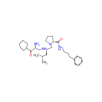 CC(C)C[C@H](CN1CCC[C@H]1C(=O)NCCCCc1ccccc1)NC[C@H](N)C(=O)C1CCCCC1